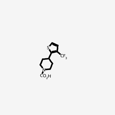 O=C(O)N1CCC(c2sccc2C(F)(F)F)CC1